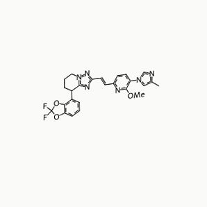 COc1nc(C=Cc2nc3n(n2)CCCC3c2cccc3c2OC(F)(F)O3)ccc1-n1cnc(C)c1